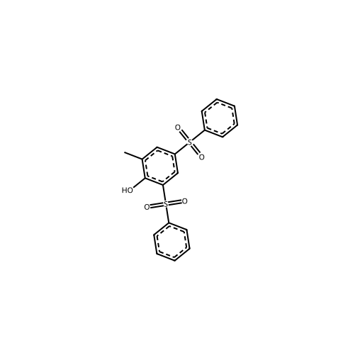 Cc1cc(S(=O)(=O)c2ccccc2)cc(S(=O)(=O)c2ccccc2)c1O